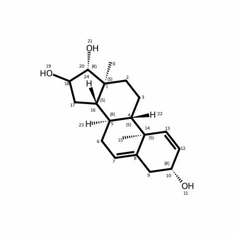 C[C@]12CC[C@H]3[C@@H](CC=C4C[C@@H](O)C=C[C@@]43C)[C@@H]1CC(O)[C@@H]2O